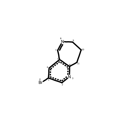 Brc1cnc2c(c1)C=NCCC2